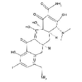 CN(C)[C@H]1C(O)=C(C(N)=O)C(=O)[C@]2(O)C(O)=C3C(=O)c4c(O)c(I)cc(CN)c4C[C@@H]3C[C@H]12